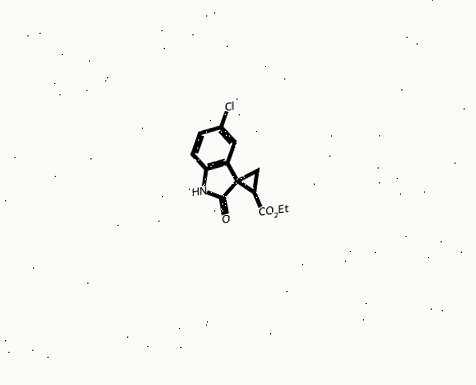 CCOC(=O)C1CC12C(=O)Nc1ccc(Cl)cc12